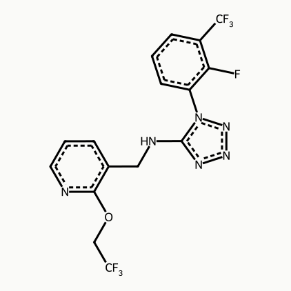 Fc1c(-n2nnnc2NCc2cccnc2OCC(F)(F)F)cccc1C(F)(F)F